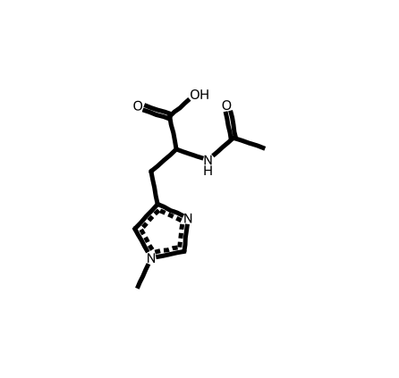 CC(=O)NC(Cc1cn(C)cn1)C(=O)O